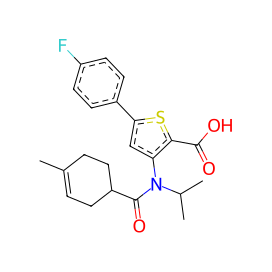 CC1=CCC(C(=O)N(c2cc(-c3ccc(F)cc3)sc2C(=O)O)C(C)C)CC1